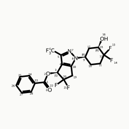 O=C(O[C@H]1c2c(C(F)(F)F)nn([C@@H]3CCC(F)(F)[C@H](O)C3)c2CC1(F)F)c1ccccc1